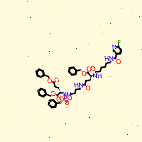 O=C(CC[C@H](NC(=O)CCCCCNC(=O)c1ccc(F)nc1)C(=O)OCc1ccccc1)NCCCCOP(=O)(N[C@@H](CCC(=O)OCc1ccccc1)C(=O)OCc1ccccc1)OCc1ccccc1